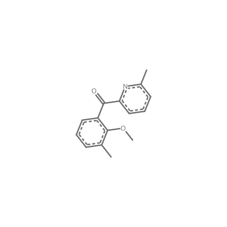 COc1c(C)cccc1C(=O)c1cccc(C)n1